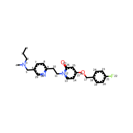 CCCN(C)Cc1ccc(CCn2ccc(OCc3ccc(F)cc3)cc2=O)nc1